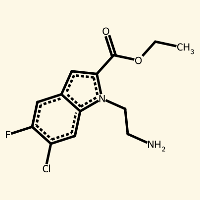 CCOC(=O)c1cc2cc(F)c(Cl)cc2n1CCN